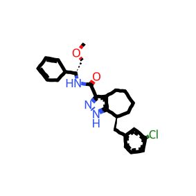 COC[C@H](NC(=O)c1n[nH]c2c1CCCC[C@H]2Cc1cccc(Cl)c1)C1C=CC=CC1